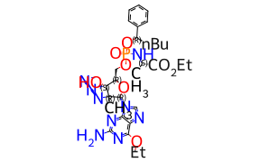 CCCC[C@@H](OP(=O)(N[C@@H](C)C(=O)OCC)OC[C@H]1O[C@@H](n2cnc3c(OCC)nc(N)nc32)[C@](C)(N=[N+]=[N-])[C@@H]1O)c1ccccc1